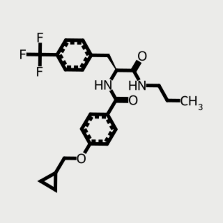 CCCNC(=O)[C@H](Cc1ccc(C(F)(F)F)cc1)NC(=O)c1ccc(OCC2CC2)cc1